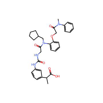 CC(C(=O)O)c1cccc(NC(=O)NCC(=O)N(CC2CCCC2)c2ccccc2OCC(=O)N(C)c2ccccc2)c1